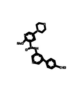 COc1ncc(N2CCOCC2)cc1[S+]([O-])Nc1cncc(-c2ccc(C=O)cc2)c1